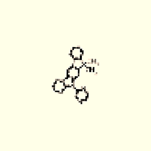 CC1(C)c2ccccc2-c2cc3c4ccccc4n(-c4cnccn4)c3cc21